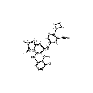 COc1c(Cl)cccc1Nc1cc(Nc2ccc(N3CCC3)c(C#N)n2)nc2[nH]n(C)c(=O)c12